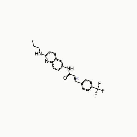 CCCNc1ccc2cc(NC(=O)/C=C/c3ccc(C(F)(F)F)cc3)ccc2n1